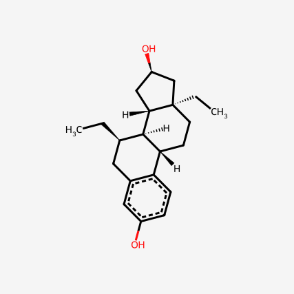 CC[C@@H]1Cc2cc(O)ccc2[C@H]2CC[C@]3(CC)C[C@H](O)C[C@H]3[C@H]12